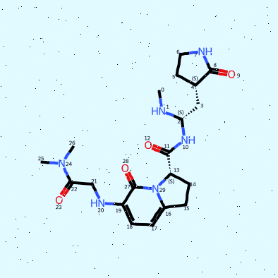 CN[C@H](C[C@@H]1CCNC1=O)NC(=O)[C@@H]1CCc2ccc(NCC(=O)N(C)C)c(=O)n21